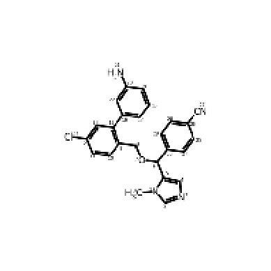 Cn1cncc1C(OCc1ccc(Cl)cc1-c1cccc(N)c1)c1ccc(C#N)cc1